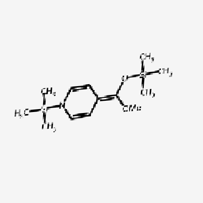 COC(O[Si](C)(C)C)=C1C=CN([Si](C)(C)C)C=C1